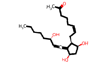 CCCCC[C@H](O)C=C=C1[C@H](O)C[C@H](O)[C@@H]1C/C=C\CCCC(C)=O